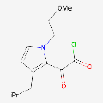 COCCn1ccc(CC(C)C)c1C(=O)C(=O)Cl